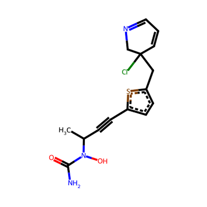 CC(C#Cc1ccc(CC2(Cl)C=CC=NC2)s1)N(O)C(N)=O